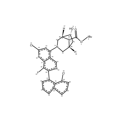 CC(C)(C)OC(=O)N1[C@@H]2C[C@@H](O)[C@H]1CN(c1nc(Cl)nc3c(F)c(-c4cccc5cccc(Cl)c45)ncc13)C2